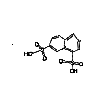 O=S(=O)(O)c1ccc2c[c]cc(S(=O)(=O)O)c2c1